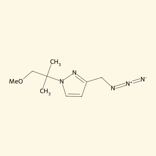 COCC(C)(C)n1ccc(CN=[N+]=[N-])n1